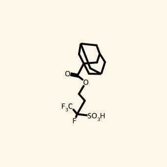 O=C(OCCC(F)(C(F)(F)F)S(=O)(=O)O)C12CC3CC(CC(C3)C1)C2